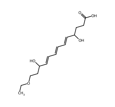 CCOCCC(O)C=CC=CC=CC(O)CCC(=O)O